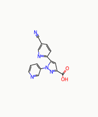 N#Cc1ccc(-c2cc(C(=O)O)nn2-c2cccnc2)nc1